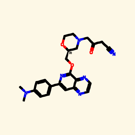 CN(C)c1ccc(-c2cc3nccnc3c(OC[C@@H]3CN(CC(=O)CC#N)CCO3)n2)cc1